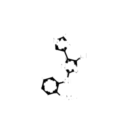 CSc1ccccc1Nc1nc(-c2cncs2)c(C)s1